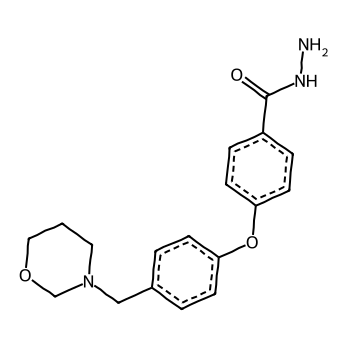 NNC(=O)c1ccc(Oc2ccc(CN3CCCOC3)cc2)cc1